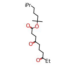 CCC(=O)CCCC(=O)CCC(=O)OC(C)(C)CCCC(C)C